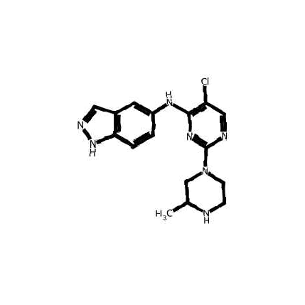 CC1CN(c2ncc(Cl)c(Nc3ccc4[nH]ncc4c3)n2)CCN1